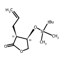 C=CC[C@@H]1C(=O)OC[C@@H]1O[Si](C)(C)C(C)(C)C